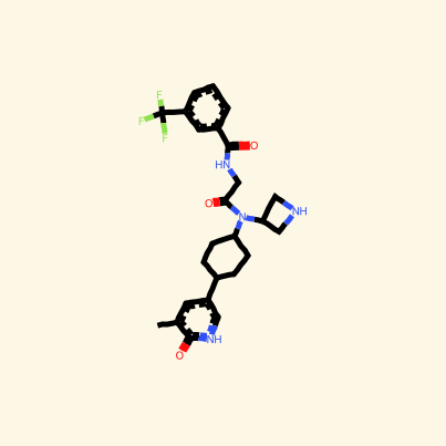 Cc1cc(C2CCC(N(C(=O)CNC(=O)c3cccc(C(F)(F)F)c3)C3CNC3)CC2)c[nH]c1=O